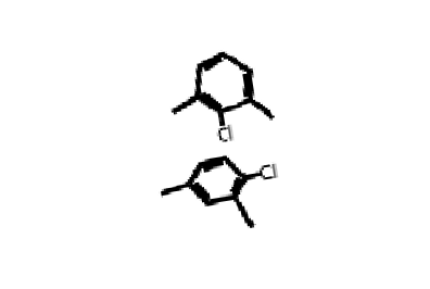 Cc1ccc(Cl)c(C)c1.Cc1cccc(C)c1Cl